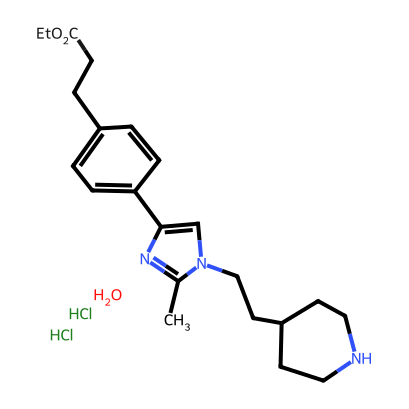 CCOC(=O)CCc1ccc(-c2cn(CCC3CCNCC3)c(C)n2)cc1.Cl.Cl.O